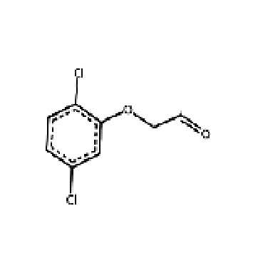 O=[C]COc1cc(Cl)ccc1Cl